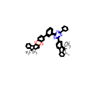 CC1(C)c2ccccc2-c2ccc(-c3nc(-c4ccccc4)nc(-c4cccc(-c5ccc6c(c5)Oc5ccc7c(c5O6)-c5ccccc5C7(C)C)c4)n3)cc21